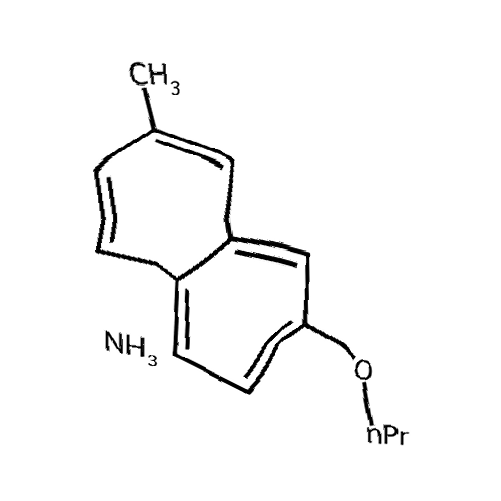 CCCOc1ccc2ccc(C)cc2c1.N